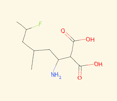 CC(F)CC(C)CC(N)C(C(=O)O)C(=O)O